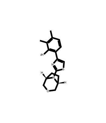 Cc1ccc(-c2csc(N3[C@@H]4CC[C@H]3COC4)n2)c(C(C)C)c1C